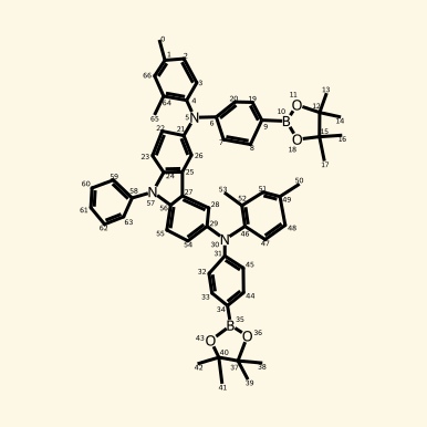 Cc1ccc(N(c2ccc(B3OC(C)(C)C(C)(C)O3)cc2)c2ccc3c(c2)c2cc(N(c4ccc(B5OC(C)(C)C(C)(C)O5)cc4)c4ccc(C)cc4C)ccc2n3-c2ccccc2)c(C)c1